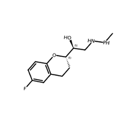 CPNC[C@H](O)[C@@H]1CCc2cc(F)ccc2O1